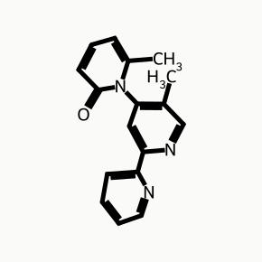 Cc1cnc(-c2ccccn2)cc1-n1c(C)cccc1=O